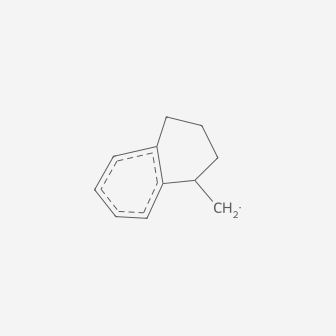 [CH2]C1CCCc2ccccc21